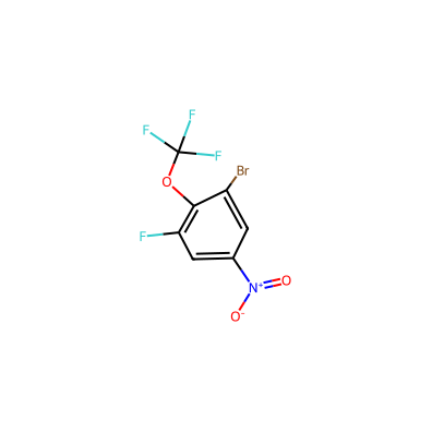 O=[N+]([O-])c1cc(F)c(OC(F)(F)F)c(Br)c1